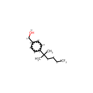 CC(C)(CCCC(F)(F)F)c1ccc(CO)cc1